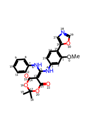 COc1cc(NC(Nc2ccccc2)=C2C(=O)OC(C)(C)OC2=O)ccc1-c1cnco1